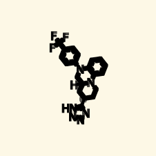 FC(F)(F)c1ccc(N2C[C@H]3C[C@H](c4nnn[nH]4)CCN3c3ccccc32)cc1